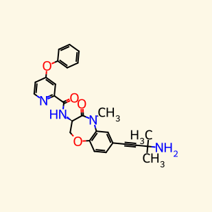 CN1C(=O)[C@H](NC(=O)c2cc(Oc3ccccc3)ccn2)COc2ccc(C#CC(C)(C)N)cc21